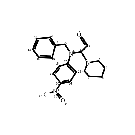 O=CC(N1CCCCC1)N(Cc1ccccc1)c1ccc([N+](=O)[O-])cc1